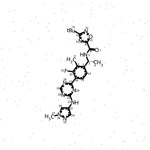 Cc1c([C@@H](C)NC(=O)c2nc(C(C)(C)C)no2)ccc(-c2ncnc(Nc3cnn(C)c3)n2)c1F